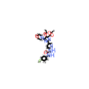 CCOc1c(C2OC(C)O2)nc(-c2ccc(NC(=O)Nc3ccc(F)cc3)nc2)nc1N1CCOCC1